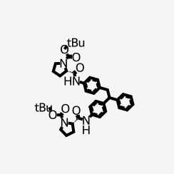 CC(C)(C)OC(=O)N1CCC[C@H]1C(=O)Nc1ccc(CC(c2ccccc2)c2ccc(NC(=O)[C@@H]3CCCN3C(=O)OC(C)(C)C)cc2)cc1